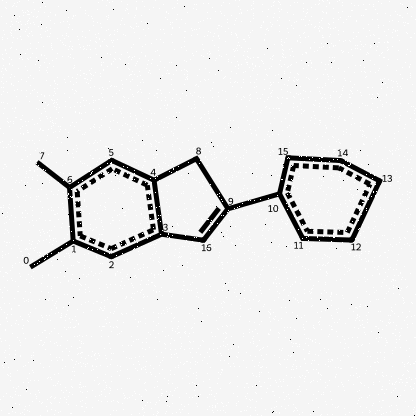 Cc1cc2c(cc1C)CC(c1ccccc1)=C2